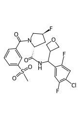 CS(=O)(=O)c1cccc(C(=O)N2C[C@@H](F)C[C@@H]2C(=O)NC(c2cc(F)c(Cl)cc2F)C2COC2)c1